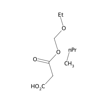 CCCC.CCOCOC(=O)CC(=O)O